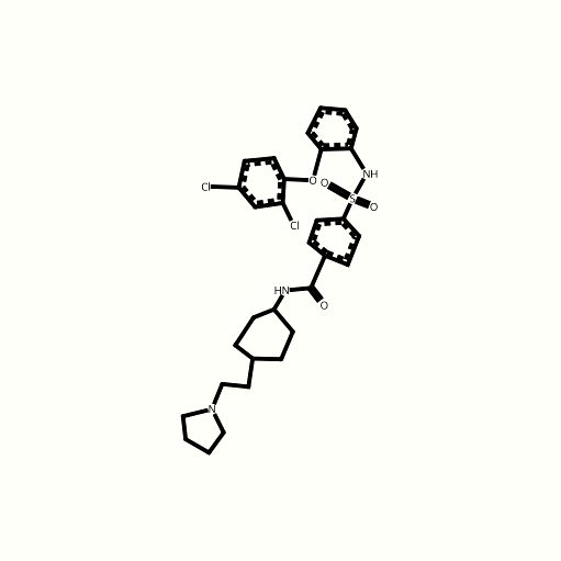 O=C(NC1CCC(CCN2CCCC2)CC1)c1ccc(S(=O)(=O)Nc2ccccc2Oc2ccc(Cl)cc2Cl)cc1